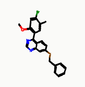 COc1cc(Br)c(C)cc1-c1ncnc2cc(SCc3ccccc3)ccc12